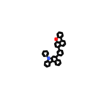 c1ccc(-n2c3ccccc3c3c4ccccc4c(-c4cccc(-c5ccc6c7c(cccc57)-c5ccccc5O6)c4)cc32)cc1